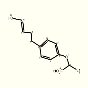 CCC(Oc1ccc(CCC=NO)cc1)C(=O)O